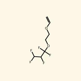 C=COCCOC(F)(F)C(F)C(F)F